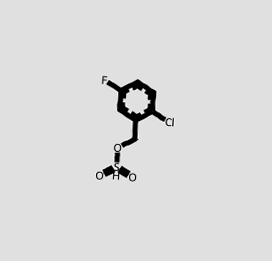 O=[SH](=O)O[CH]c1cc(F)ccc1Cl